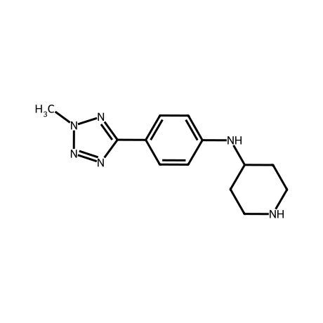 Cn1nnc(-c2ccc(NC3CCNCC3)cc2)n1